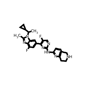 Cc1nc2c(F)cc(-c3nc(Nc4ccc5c(n4)CCNC5)ncc3F)cc2n1C(C)C1CC1